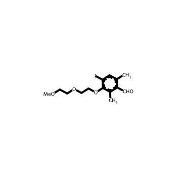 COCCOCCOc1c(I)cc(C)c(C=O)c1C